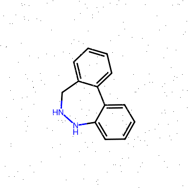 c1ccc2c(c1)CNNc1ccccc1-2